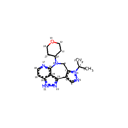 CC(C)n1ncc2c1CN(C1CCOCC1)c1nccc3[nH]nc-2c13